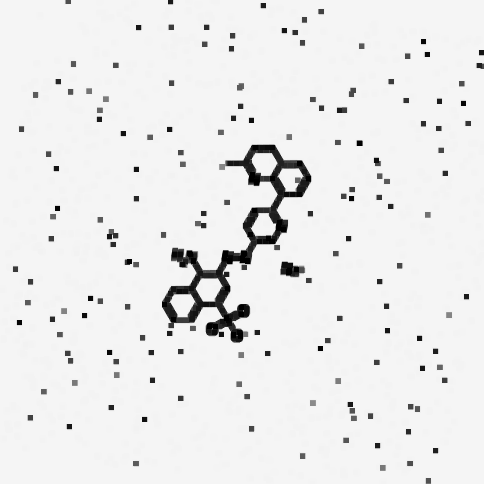 Cc1ccc2cccc(-c3ccc(N=Nc4cc(S(=O)(=O)[O-])c5ccccc5c4N)cn3)c2n1.[Na+]